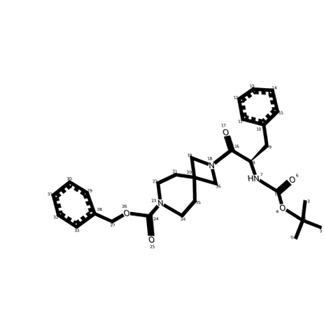 CC(C)(C)OC(=O)N[C@H](Cc1ccccc1)C(=O)N1CC2(CCN(C(=O)OCc3ccccc3)CC2)C1